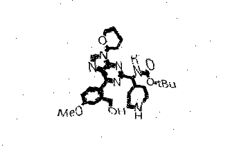 COc1ccc(-c2nc(C(NC(=O)OC(C)(C)C)C3CCNCC3)nc3c2ncn3C2CCCCO2)c(CO)c1